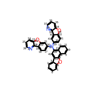 c1ccc2c(c1)oc1c3ccccc3c(N(c3ccc4c(c3)oc3cccnc34)c3ccc4oc5cccnc5c4c3)cc21